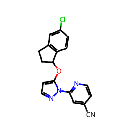 N#Cc1ccnc(-n2nccc2OC2CCc3cc(Cl)ccc32)c1